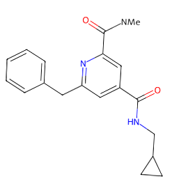 CNC(=O)c1cc(C(=O)NCC2CC2)cc(Cc2ccccc2)n1